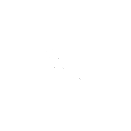 Cc1cc(Nc2nccc(-c3sc(N4CCOC4=O)nc3C)n2)ccc1F